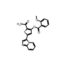 COc1ccccc1C(=O)Oc1cc(-c2cnc3ccccn23)sc1C(N)=O